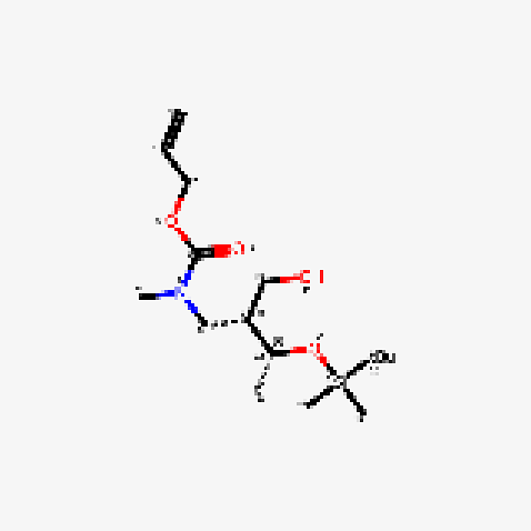 C=CCOC(=O)N(C)C[C@H](CO)[C@@H](C)O[Si](C)(C)C(C)(C)C